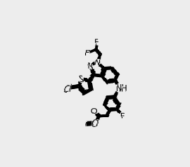 COC(=O)Cc1ccc(Nc2ccc3c(c2)c(-c2ccc(Cl)s2)nn3CC(F)F)cc1F